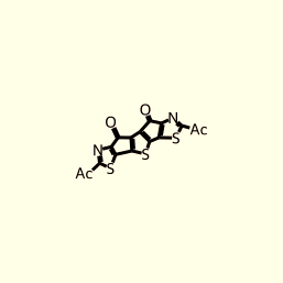 CC(=O)c1nc2c(=O)c3c(sc4c5sc(C(C)=O)nc5c(=O)c43)c2s1